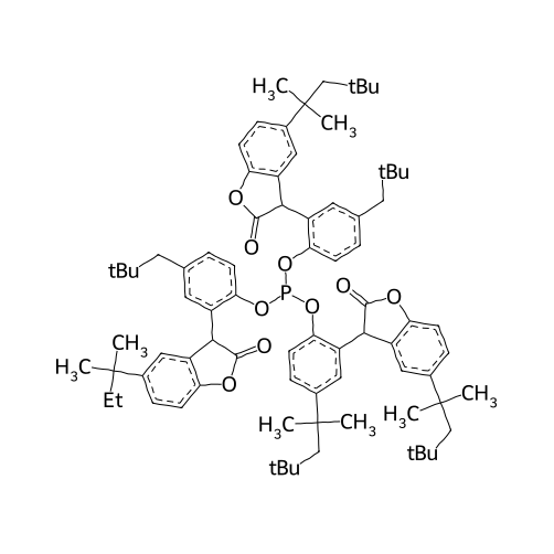 CCC(C)(C)c1ccc2c(c1)C(c1cc(CC(C)(C)C)ccc1OP(Oc1ccc(CC(C)(C)C)cc1C1C(=O)Oc3ccc(C(C)(C)CC(C)(C)C)cc31)Oc1ccc(C(C)(C)CC(C)(C)C)cc1C1C(=O)Oc3ccc(C(C)(C)CC(C)(C)C)cc31)C(=O)O2